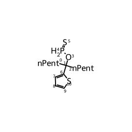 CCCCCC(CCCCC)(O[PH2]=S)c1cccs1